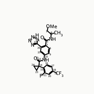 COC[C@@H](C)NC(=O)c1ccc(NC(=O)C2(c3ccc(C(F)(F)F)cc3F)CC2)cc1-c1nnn[nH]1